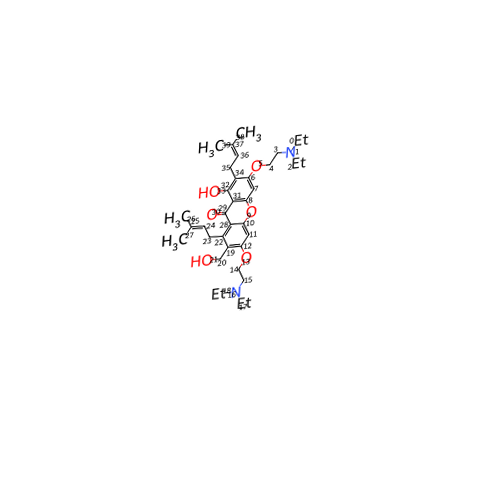 CCN(CC)CCOc1cc2oc3cc(OCCN(CC)CC)c(CO)c(CC=C(C)C)c3c(=O)c2c(O)c1CC=C(C)C